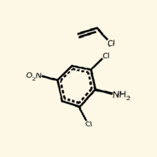 C=CCl.Nc1c(Cl)cc([N+](=O)[O-])cc1Cl